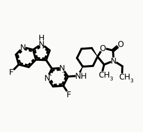 CCN1C(=O)O[C@]2(CCC[C@H](Nc3nc(-c4c[nH]c5ncc(F)cc45)ncc3F)C2)C1C